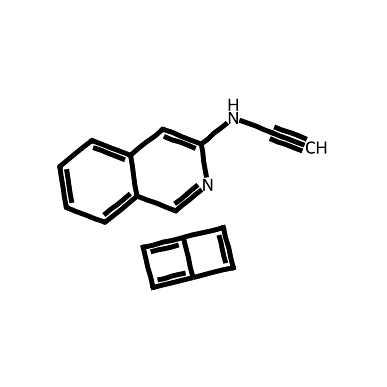 C#CNc1cc2ccccc2cn1.c1cc2ccc1-2